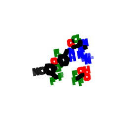 N#Cc1cc(Oc2c(Cl)ccc(CNC(=O)c3c(Cl)ncn3N=[N+]=[N-])c2F)cc(C(F)F)c1.O=C(O)C(F)(F)F